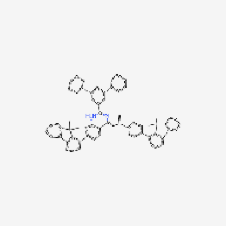 C=C(/C=C(\N=C(/N)c1cc(-c2ccccc2)cc(-c2ccccc2)c1)c1ccc(-c2cccc3c2C(C)(C)c2ccccc2-3)cc1)c1ccc(-c2cccc3c2C(C)(C)c2ccccc2-3)cc1